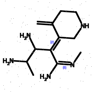 C=C1CCNC/C1=C(\C(N)=N/C)C(N)C(C)N